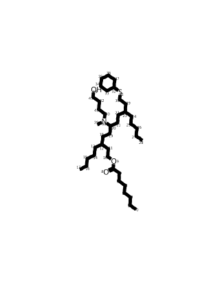 CCCCCCCC(=O)OCCC(CCCCC)CCC(CCC(CCCCC)CCSC1CCCCC1)N(C)CCCCO